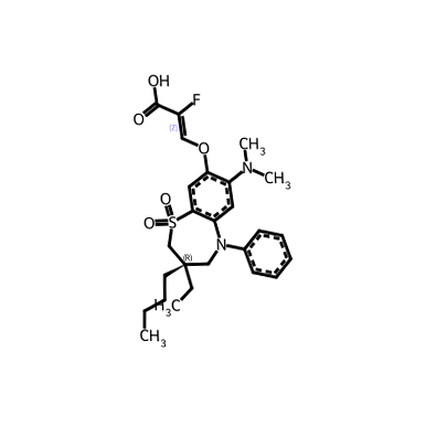 CCCC[C@]1(CC)CN(c2ccccc2)c2cc(N(C)C)c(O/C=C(\F)C(=O)O)cc2S(=O)(=O)C1